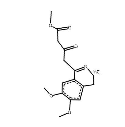 COC(=O)CC(=O)CC1=NCCc2cc(OC)c(OC)cc21.Cl